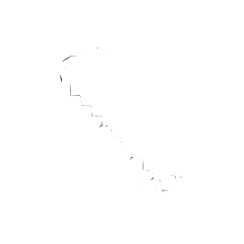 CCCCC/C=C\C/C=C\CCCCCCCC(=O)NCCCOC(=O)CCNC(=O)C1OC(C)(C)OCC1(C)C